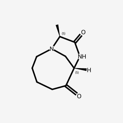 C[C@H]1C(=O)N[C@H]2CN1CCCCC2=O